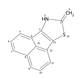 C=c1[nH]c2c3cccc4cccc(c=2s1)c43